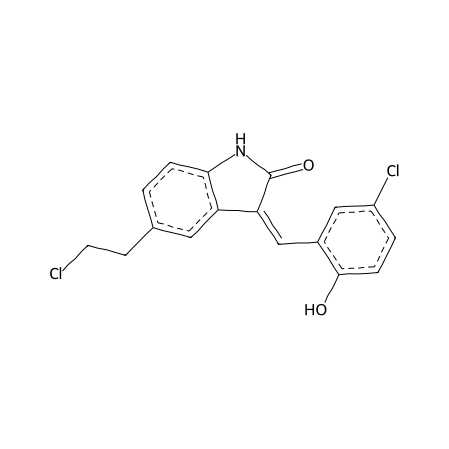 O=C1Nc2ccc(CCCl)cc2C1=Cc1cc(Cl)ccc1O